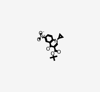 CC(C)(C)OC(=O)c1cn(C2CC2)c2ccc([N+](=O)[O-])cc2c1=O